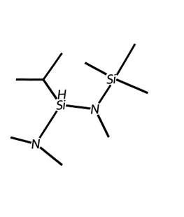 CC(C)[SiH](N(C)C)N(C)[Si](C)(C)C